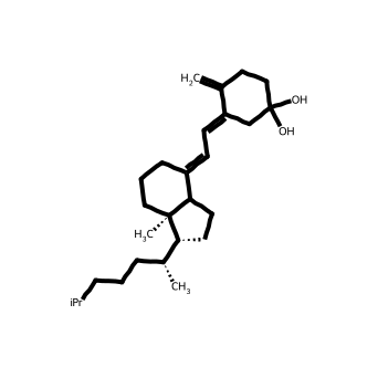 C=C1CCC(O)(O)C/C1=C\C=C1/CCC[C@@]2(C)C1CC[C@@H]2[C@H](C)CCCC(C)C